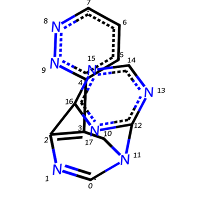 [C]1=NC2=C(c3cc[c]nn3)CN1c1ncnc2n1